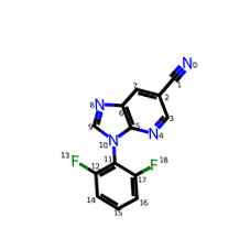 N#Cc1cnc2c(c1)ncn2-c1c(F)cccc1F